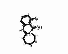 N=c1c2c(Br)cccc2nc2n1CCCCC2